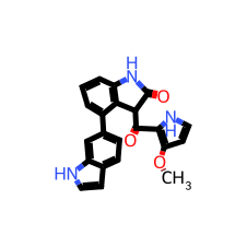 COc1cc[nH]c1C(=O)C1C(=O)Nc2cccc(-c3ccc4cc[nH]c4c3)c21